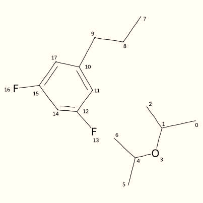 CC(C)OC(C)C.CCCc1cc(F)cc(F)c1